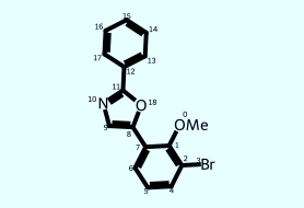 COc1c(Br)cccc1-c1cnc(-c2ccccc2)o1